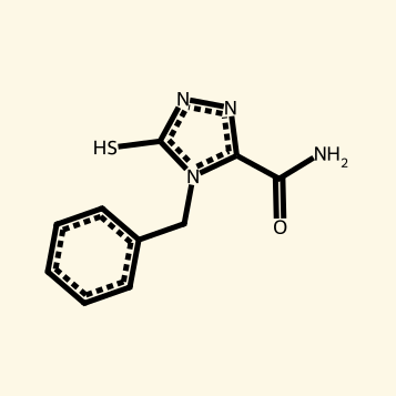 NC(=O)c1nnc(S)n1Cc1ccccc1